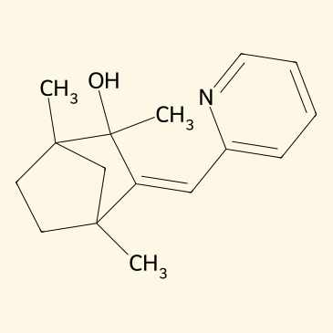 CC12CCC(C)(C1)C(C)(O)C2=Cc1ccccn1